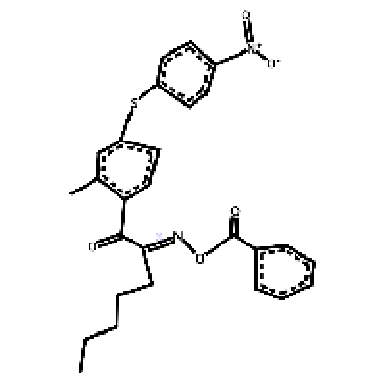 CCCCC/C(=N\OC(=O)c1ccccc1)C(=O)c1ccc(Sc2ccc([N+](=O)[O-])cc2)cc1C